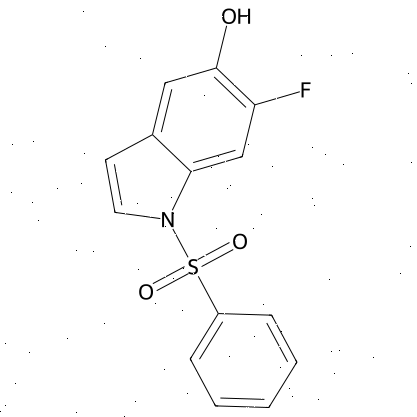 O=S(=O)(c1ccccc1)n1ccc2cc(O)c(F)cc21